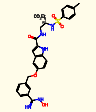 CCOC(=O)[C@@H](CNC(=O)c1cc2cc(OCc3cccc(C(=N)NO)c3)ccc2[nH]1)NS(=O)(=O)c1ccc(C)cc1